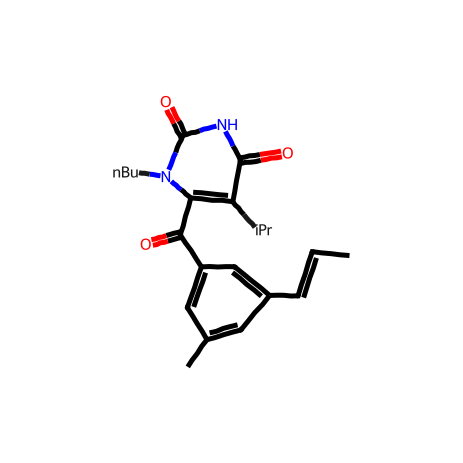 C/C=C/c1cc(C)cc(C(=O)c2c(C(C)C)c(=O)[nH]c(=O)n2CCCC)c1